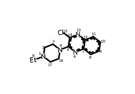 CCN1CCN(c2nc3ccccc3nc2Cl)CC1